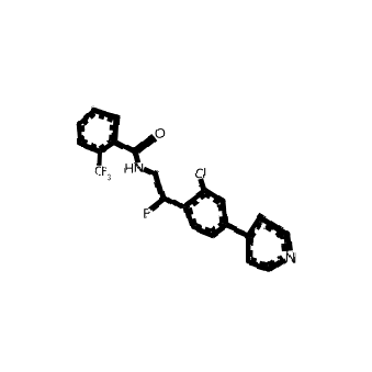 O=C(NCC(F)c1ccc(-c2ccncc2)cc1Cl)c1ccccc1C(F)(F)F